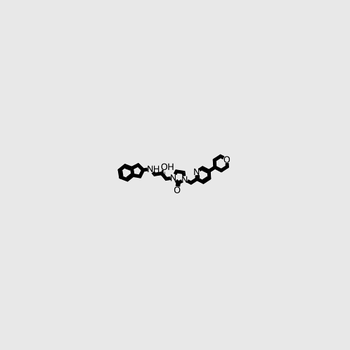 O=C1N(Cc2ccc(C3CCOCC3)cn2)CCN1C[C@H](O)CNC1Cc2ccccc2C1